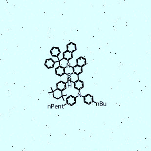 CCCCCc1ccc(N(c2ccc(CCCC)cc2)c2ccc(-c3cc4ccccc4c4c3Bc3cccc5c3N4c3cc4ccccc4cc3C5(c3ccccc3)c3ccccc3)c(Nc3ccc4c(c3)C(C)(C)CCC4(C)C)c2)cc1